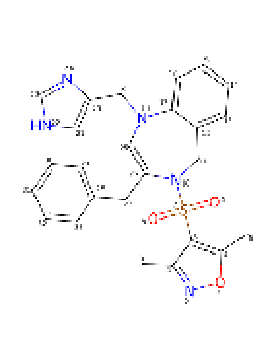 Cc1noc(C)c1S(=O)(=O)N1Cc2ccccc2N(Cc2c[nH]cn2)C=C1Cc1ccccc1